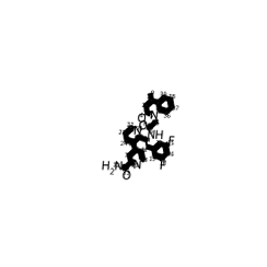 Cc1cc(=O)n(CC(=O)N[C@@H](Cc2cc(F)cc(F)c2)c2ncccc2-c2ccnc(C(N)=O)c2)c2ccccc12